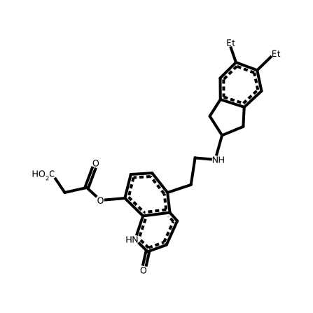 CCc1cc2c(cc1CC)CC(NCCc1ccc(OC(=O)CC(=O)O)c3[nH]c(=O)ccc13)C2